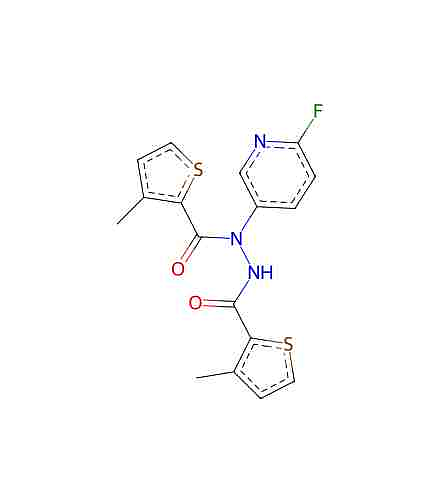 Cc1ccsc1C(=O)NN(C(=O)c1sccc1C)c1ccc(F)nc1